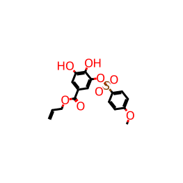 C=CCOC(=O)c1cc(O)c(O)c(OS(=O)(=O)c2ccc(OC)cc2)c1